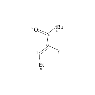 CC/C=C(\C)C(=O)C(C)(C)C